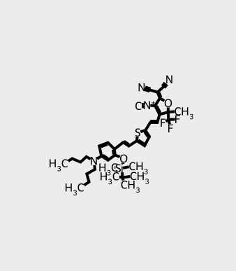 [C-]#[N+]C1=C(/C=C/c2ccc(/C=C/c3ccc(N(CCCC)CCCC)cc3O[Si](C)(C)C(C)(C)C)s2)C(C)(C(F)(F)F)OC1=C(C#N)C#N